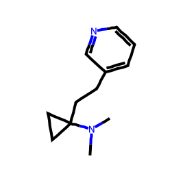 CN(C)C1(CCc2cccnc2)CC1